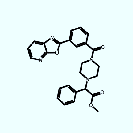 COC(=O)C(c1ccccc1)N1CCN(C(=O)c2cccc(-c3nc4cccnc4o3)c2)CC1